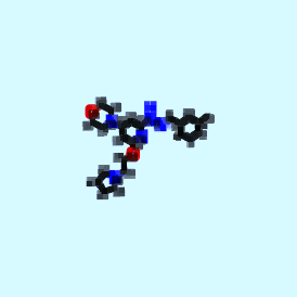 Cc1cccc(/C=N/Nc2cc(N3CCOCC3)cc(OCCN3CCCC3)n2)c1